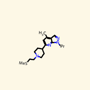 CSCCN1CCC(c2cc(C)c3cnn(C(C)C)c3n2)CC1